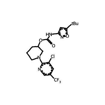 CC(C)(C)c1cc(NC(=O)OC2CCCN(c3ncc(C(F)(F)F)cc3Cl)C2)no1